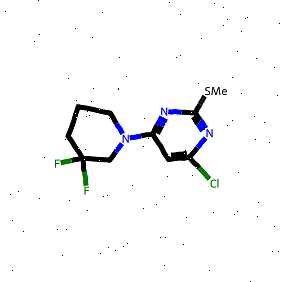 CSc1nc(Cl)cc(N2CCCC(F)(F)C2)n1